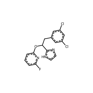 Fc1cccc(OC(Cc2cc(Cl)cc(Cl)c2)c2ncc[nH]2)n1